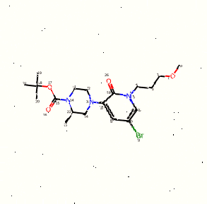 COCCCn1cc(Br)cc(N2CCN(C(=O)OC(C)(C)C)[C@H](C)C2)c1=O